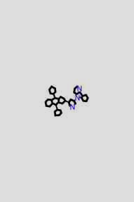 c1ccc(-c2c3ccccc3c(-c3ccccc3)c3cc(-c4cncc(-n5c6ccccc6c6ncccc65)c4)ccc23)cc1